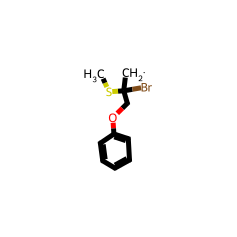 [CH2]C(Br)(COc1ccccc1)SC